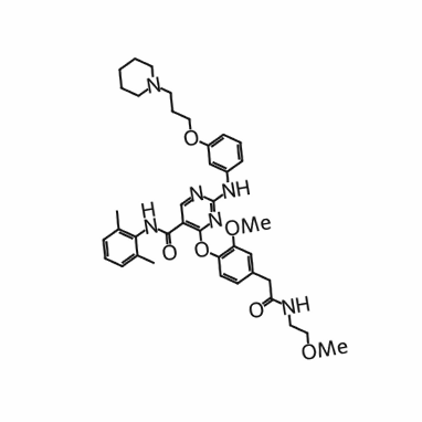 COCCNC(=O)Cc1ccc(Oc2nc(Nc3cccc(OCCCN4CCCCC4)c3)ncc2C(=O)Nc2c(C)cccc2C)c(OC)c1